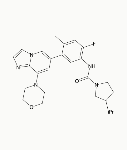 Cc1cc(F)c(NC(=O)N2CCC(C(C)C)C2)cc1-c1cc(N2CCOCC2)c2nccn2c1